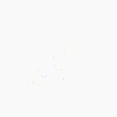 O=C(NC(Cc1cc(I)c(Oc2ccc(OC(=O)OCC3c4ccccc4-c4ccccc43)c(I)c2)c(I)c1)C(=O)O)OCC1c2ccccc2-c2ccccc21